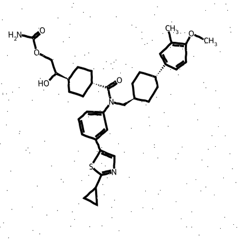 COc1ccc([C@H]2CC[C@H](CN(c3cccc(-c4cnc(C5CC5)s4)c3)C(=O)[C@H]3CC[C@H](C(O)COC(N)=O)CC3)CC2)cc1C